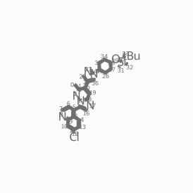 Cc1nn2c(-c3ccnc4cc(Cl)ccc34)cnc2cc1-c1cnn(C2CCC(O[Si](C)(C)C(C)(C)C)CC2)c1